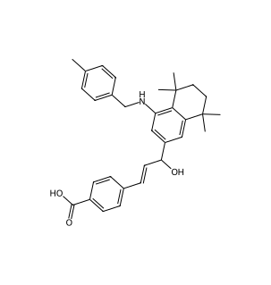 Cc1ccc(CNc2cc(C(O)C=Cc3ccc(C(=O)O)cc3)cc3c2C(C)(C)CCC3(C)C)cc1